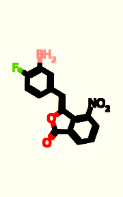 Bc1cc(/C=C2\OC(=O)c3cccc([N+](=O)[O-])c32)ccc1F